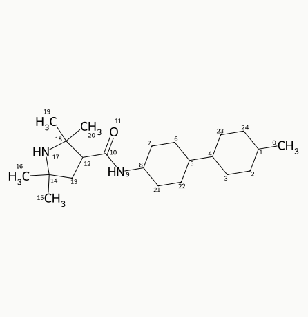 CC1CCC(C2CCC(NC(=O)C3CC(C)(C)NC3(C)C)CC2)CC1